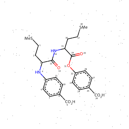 CSCCC(Nc1ccc(C(=O)O)cc1)C(=O)NC(CCSC)C(=O)Oc1ccc(C(=O)O)cc1